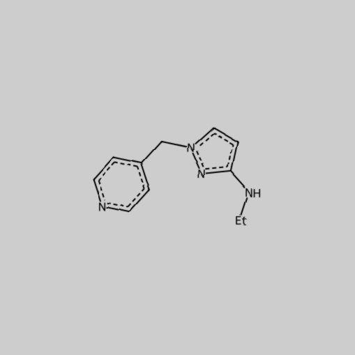 CCNc1ccn(Cc2ccncc2)n1